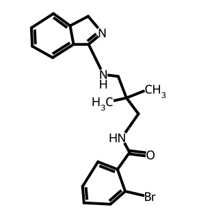 CC(C)(CNC(=O)c1ccccc1Br)CNC1=NCc2ccccc21